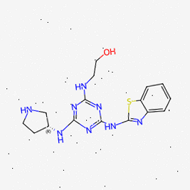 OCCNc1nc(Nc2nc3ccccc3s2)nc(N[C@@H]2CCNC2)n1